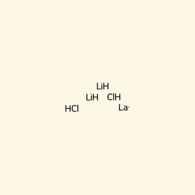 Cl.Cl.[La].[LiH].[LiH]